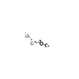 CC(=O)c1nn(CC(=O)N2C[C@H](F)C[C@H]2C(=O)NCC2CCN(CC(F)(F)F)C2)c2ccc(-c3cnc(C)nc3)cc12